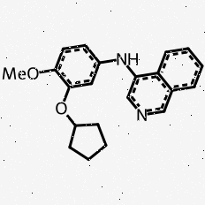 COc1ccc(Nc2cncc3ccccc23)cc1OC1CCCC1